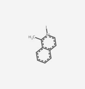 Cc1c2ccccc2cc[n+]1I